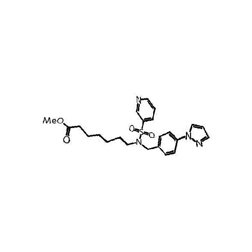 COC(=O)CCCCCCN(Cc1ccc(-n2cccn2)cc1)S(=O)(=O)c1cccnc1